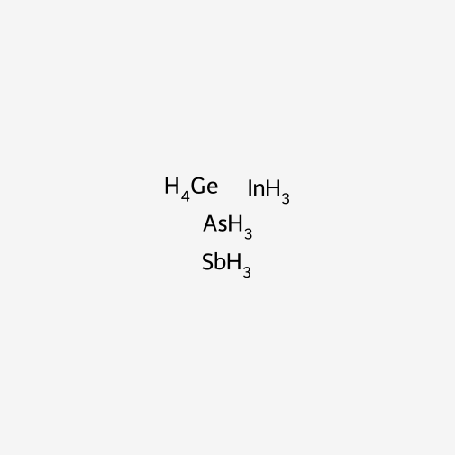 [AsH3].[GeH4].[InH3].[SbH3]